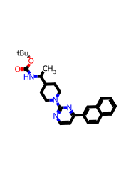 CC(NC(=O)OC(C)(C)C)C1CCN(c2nccc(-c3ccc4ccccc4c3)n2)CC1